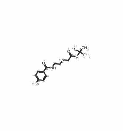 CC(C)(C)OC(=O)CNCCNC(=O)c1ccc(S)cc1